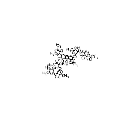 CO[C@H](C(=O)C(C)=O)[C@@H]1Cc2cc3cc(O[C@H]4CC(OC(C)OC(C)[C@@H](O)COC(C)=O)[C@H](O)C(C)O4)c(C)c(O)c3c(O)c2C(=O)[C@H]1OCOC(C)[C@@H](O)CO[C@H]1CC(O[C@H]2CC(C)(O)[C@H](O)C(C)O2)[C@@H](O)C(C)O1